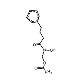 NC(=O)OCN(O)C(=O)C[CH]Cc1ccccc1